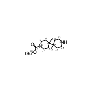 CC(C)(C)OC(=O)N1CCC(C)(C2(C)CCNCC2)CC1